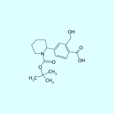 CC(C)(C)OC(=O)N1CCCCC1c1ccc(C(=O)O)c(CO)c1